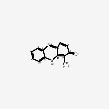 O=c1ccc2nc3ccccc3sc-2c1C(F)(F)F